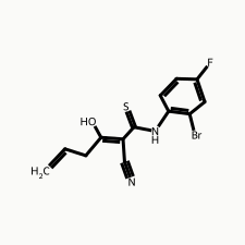 C=CC/C(O)=C(\C#N)C(=S)Nc1ccc(F)cc1Br